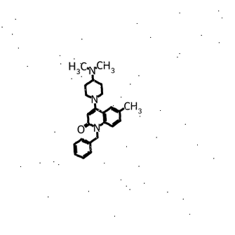 Cc1ccc2c(c1)c(N1CCC(N(C)C)CC1)cc(=O)n2Cc1ccccc1